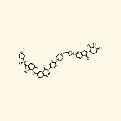 N#Cc1c(NS(=O)(=O)N2CC[C@@H](F)C2)ccc(F)c1Oc1ccc2ncn(-c3cnc(N4CCN(CC5CN(c6ccc7c(c6)CN(C6CCC(=O)NC6=O)C7=O)C5)CC4)nc3)c(=O)c2c1